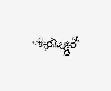 CC(C)(C)NCc1cc2c(cc1Cl)[C@H](NC(=O)C[C@@H](NS(=O)(=O)c1cccc(C(F)(F)F)c1)c1ccccc1)CCO2